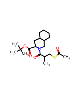 CC(=O)SCC(C)C(=O)N1CC2CCCCC2CC1C(=O)OC(C)(C)C